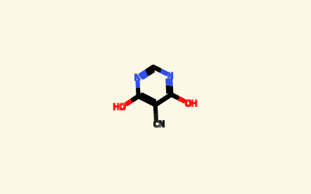 N#Cc1c(O)ncnc1O